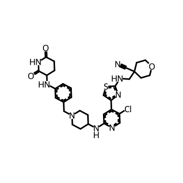 N#CC1(CNc2nc(-c3cc(NC4CCN(Cc5cccc(NC6CCC(=O)NC6=O)c5)CC4)ncc3Cl)cs2)CCOCC1